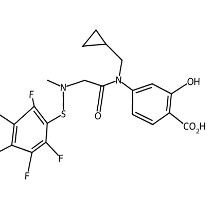 CN(CC(=O)N(CC1CC1)c1ccc(C(=O)O)c(O)c1)Sc1c(F)c(F)c(F)c(F)c1F